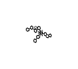 c1ccc(-c2ccc(-c3nc(-c4ccc5c(ccc6ccccc65)c4)nc(-c4cccc5oc6c(-c7cccc(-c8ccccc8)c7)cccc6c45)n3)cc2)cc1